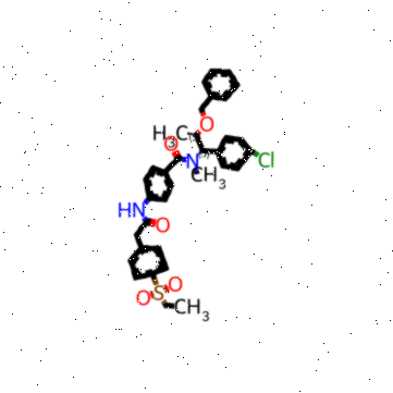 CCS(=O)(=O)c1ccc(CC(=O)Nc2ccc(C(=O)N(C)[C@@H](c3ccc(Cl)cc3)[C@H](C)OCc3ccccc3)cc2)cc1